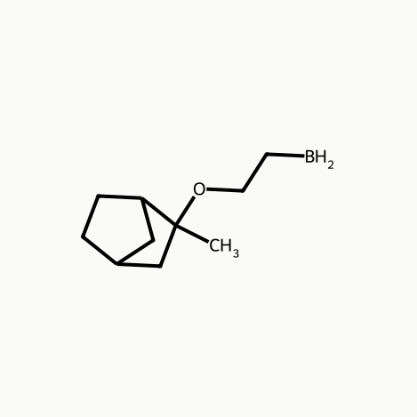 BCCOC1(C)CC2CCC1C2